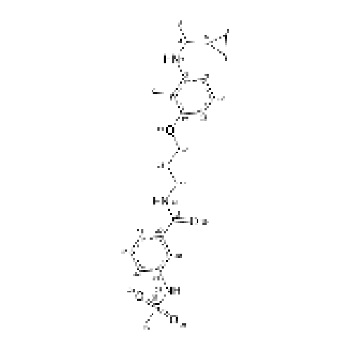 Cc1c(NC(C)C2CC2)cccc1OCCCNC(=O)c1cccc(NS(C)(=O)=O)c1